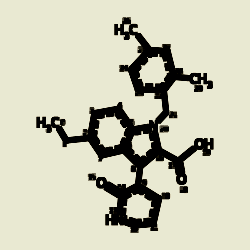 CCc1ccc2c(c1)c(-c1ccc[nH]c1=O)c(C(=O)O)n2Cc1ccc(C)cc1C